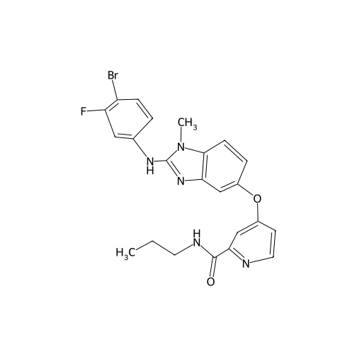 CCCNC(=O)c1cc(Oc2ccc3c(c2)nc(Nc2ccc(Br)c(F)c2)n3C)ccn1